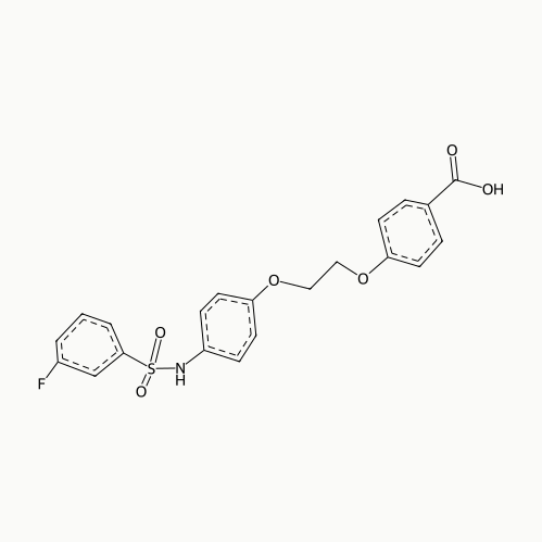 O=C(O)c1ccc(OCCOc2ccc(NS(=O)(=O)c3cccc(F)c3)cc2)cc1